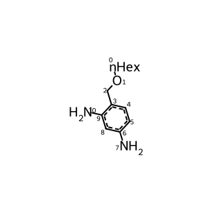 CCCCCCOCc1ccc(N)cc1N